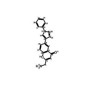 NCc1cc(=O)c2cc(-c3cn(-c4ccccc4)nn3)ccc2o1